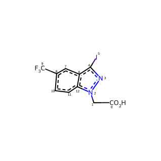 O=C(O)Cn1nc(I)c2cc(C(F)(F)F)ccc21